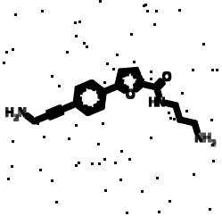 NCC#Cc1ccc(-c2ccc(C(=O)NCCCN)o2)cc1